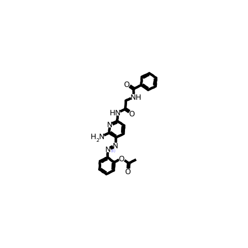 CC(=O)Oc1ccccc1/N=N/c1ccc(NC(=O)CNC(=O)c2ccccc2)nc1N